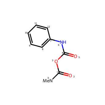 CNC(=O)OC(=O)Nc1ccccc1